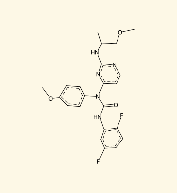 COCC(C)Nc1nccc(N(C(=O)Nc2cc(F)ccc2F)c2ccc(OC)cc2)n1